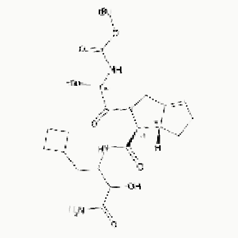 CC(C)(C)OC(=O)N[C@H](C(=O)N1CC2=CCC[C@@H]2[C@H]1C(=O)NC(CC1CCC1)C(O)C(N)=O)C(C)(C)C